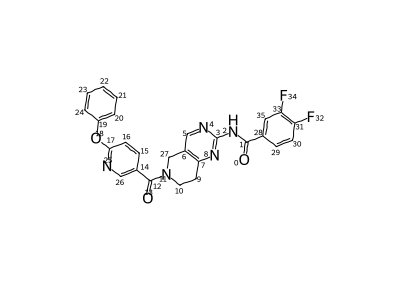 O=C(Nc1ncc2c(n1)CCN(C(=O)c1ccc(Oc3ccccc3)nc1)C2)c1ccc(F)c(F)c1